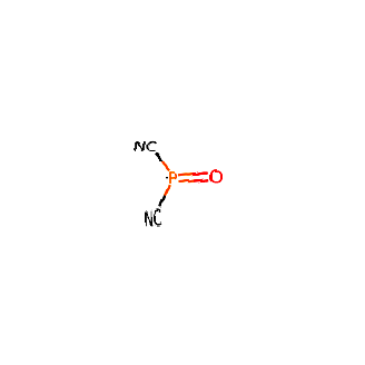 N#C[P](=O)C#N